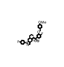 COc1ccc(COc2cc([C@H](O)[C@H]3CCCC4=Cc5c(cnn5-c5ccc(F)cc5)C[C@@]43C)ccc2F)cc1